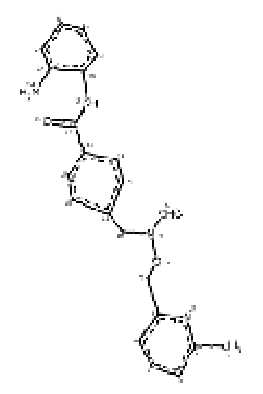 Cc1cccc(CON(C=O)Cc2ccc(C(=O)Nc3ccccc3N)cc2)n1